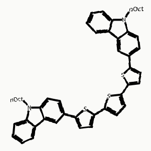 CCCCCCCCn1c2ccccc2c2cc(-c3ccc(-c4ccc(-c5ccc(-c6ccc7c(c6)c6ccccc6n7CCCCCCCC)s5)s4)s3)ccc21